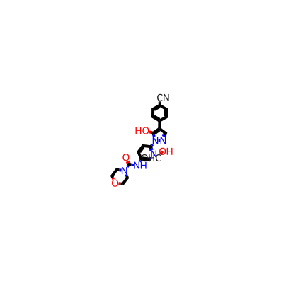 N#Cc1ccc(-c2cnn(-c3ccc(NC(=O)N4CCOCC4)cn3)c2O)cc1.O=CO